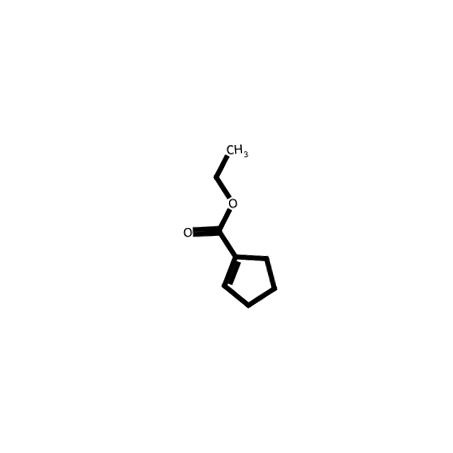 CCOC(=O)C1=CCCC1